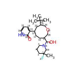 CC1(F)CCCN(C(O)C2CCC(c3ccc[nH]c3=O)CC(C(C)(C)C)COC2)C1